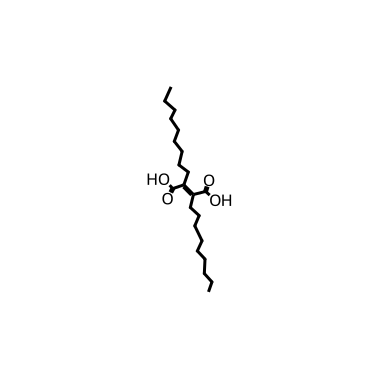 CCCCCCCCC/C(C(=O)O)=C(/CCCCCCCCC)C(=O)O